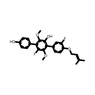 COc1c(F)c(-c2ccc(O)cc2)c(OC)c(O)c1-c1ccc(OCC=C(C)C)c(F)c1